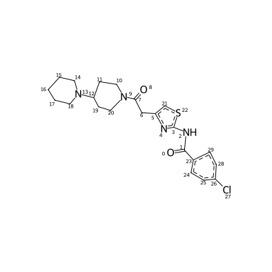 O=C(Nc1nc(CC(=O)N2CCC(N3CCCCC3)CC2)cs1)c1ccc(Cl)cc1